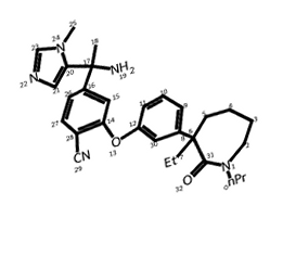 CCCN1CCCCC(CC)(c2cccc(Oc3cc(C(C)(N)c4cncn4C)ccc3C#N)c2)C1=O